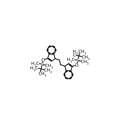 CC(C)(C)[Si](C)(C)OC1=CC(CCC2C=C(O[Si](C)(C)C(C)(C)C)c3ccccc32)c2ccccc21